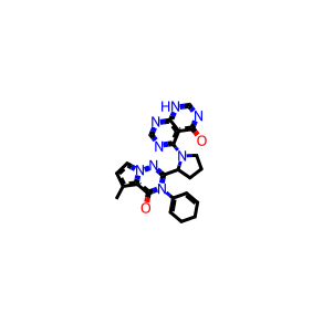 Cc1ccn2nc(C3CCCN3c3ncnc4[nH]cnc(=O)c34)n(C3=CCCC=C3)c(=O)c12